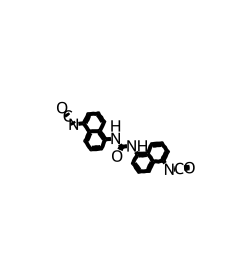 O=C=Nc1cccc2c(NC(=O)Nc3cccc4c(N=C=O)cccc34)cccc12